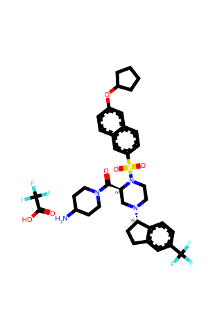 NC1CCN(C(=O)[C@@H]2CN([C@H]3CCc4cc(C(F)(F)F)ccc43)CCN2S(=O)(=O)c2ccc3cc(OC4CCCC4)ccc3c2)CC1.O=C(O)C(F)(F)F